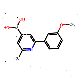 OB(O)c1cc(-c2cccc(OC(F)(F)F)c2)nc(C(F)(F)F)c1